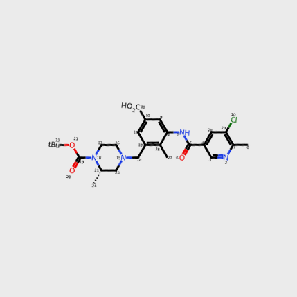 Cc1ncc(C(=O)Nc2cc(C(=O)O)cc(CN3CCN(C(=O)OC(C)(C)C)[C@@H](C)C3)c2C)cc1Cl